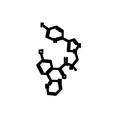 C[C@@H](Cn1cc(-c2ccc(F)cn2)cn1)NC(=O)c1cc(Cl)ccc1-c1ncccn1